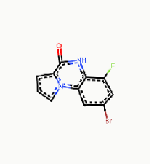 O=c1[nH]c2c(F)cc(Br)cc2n2cccc12